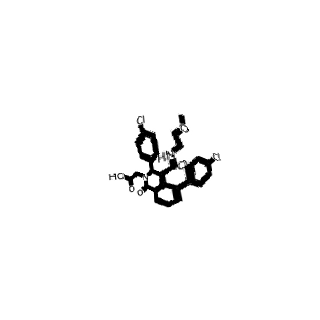 COCCNC(=O)C1c2c(cccc2-c2ccc(Cl)cc2)C(=O)N(CC(=O)O)C1c1ccc(Cl)cc1